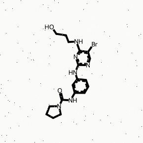 O=C(Nc1cccc(Nc2ncc(Br)c(NCCCO)n2)c1)N1CCCC1